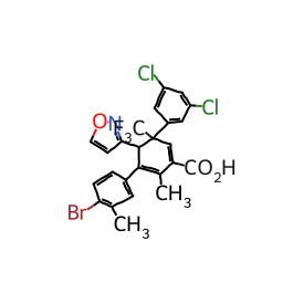 CC1=C(c2ccc(Br)c(C)c2)C(c2ccon2)C(c2cc(Cl)cc(Cl)c2)(C(F)(F)F)C=C1C(=O)O